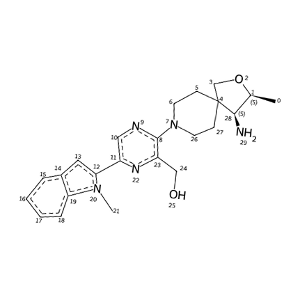 C[C@@H]1OCC2(CCN(c3ncc(-c4cc5ccccc5n4C)nc3CO)CC2)[C@@H]1N